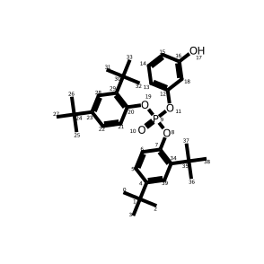 CC(C)(C)c1ccc(OP(=O)(Oc2cccc(O)c2)Oc2ccc(C(C)(C)C)cc2C(C)(C)C)c(C(C)(C)C)c1